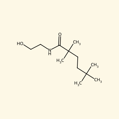 CC(C)(C)CCC(C)(C)C(=O)NCCO